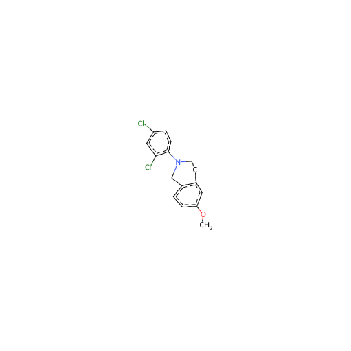 COc1ccc2c(c1)CCN(c1ccc(Cl)cc1Cl)C2